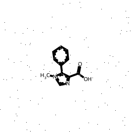 Cn1cnc(C(=O)O)c1-c1ccccc1